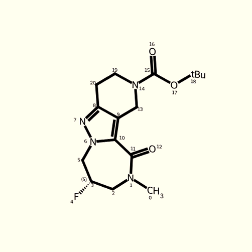 CN1C[C@H](F)Cn2nc3c(c2C1=O)CN(C(=O)OC(C)(C)C)CC3